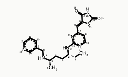 CC[C@H](CC[C@@H](C)NCc1cccnc1)Nc1nccc(/C=C2\SC(=O)NC2=O)n1